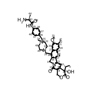 CC[C@@]1(O)C(=O)OCc2c1cc1n(c2=O)Cc2c-1nc1cc(F)c(OC)cc1c2CN1CC[N+](C)(Cc2ccc(NC(=O)[C@H](C)N)cc2)CC1